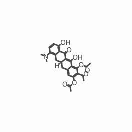 CC(=O)Oc1cc2c(c(OC(C)=O)c1C(C)=O)C(O)=C1C(=O)c3c(O)ccc(N(C)C)c3C[C@H]1C2